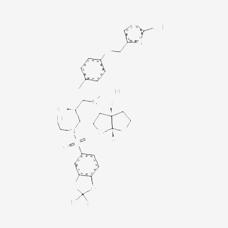 [2H]C1([2H])Oc2ccc(S(=O)(=O)N(CC(C)C)C[C@@H](O)[C@H](Cc3ccc(OCc4csc(C)n4)cc3)N(C(=O)O)[C@H]3CO[C@H]4OCC[C@H]43)cc2O1